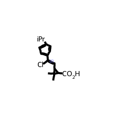 CC(C)c1ccc(/C(Cl)=C/C2C(C(=O)O)C2(C)C)cc1